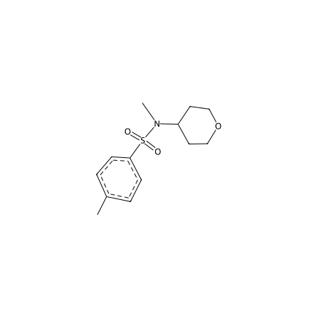 Cc1ccc(S(=O)(=O)N(C)C2CCOCC2)cc1